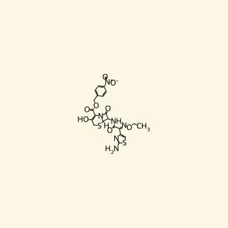 CCON=C(C(=O)NC1C(=O)N2C(C(=O)OCc3ccc([N+](=O)[O-])cc3)=C(O)CS[C@@H]12)c1csc(N)n1